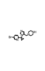 Brc1ccc(C2(n3cncc3CN3CCNCC3)CC2)nc1